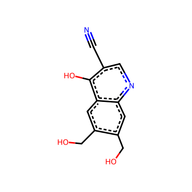 N#Cc1cnc2cc(CO)c(CO)cc2c1O